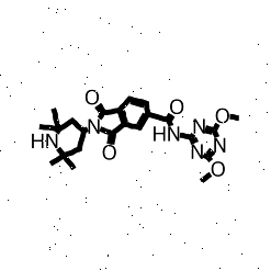 COc1nc(NC(=O)c2ccc3c(c2)C(=O)N(C2CC(C)(C)NC(C)(C)C2)C3=O)nc(OC)n1